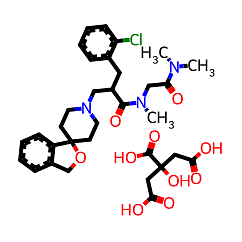 CN(C)C(=O)CN(C)C(=O)C(Cc1ccccc1Cl)CN1CCC2(CC1)OCc1ccccc12.O=C(O)CC(O)(CC(=O)O)C(=O)O